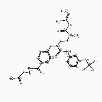 C/C=C(\C)OC(=O)N(C)CCN(Cc1ccc(C(=O)NCCC(=O)O)cc1)C(=O)Nc1cccc(SC(F)(F)F)c1